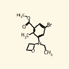 CCN(c1cc(Br)cc(C(=O)OC)c1C)C1CCO1